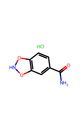 Cl.NC(=O)c1ccc2c(c1)ONO2